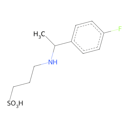 CC(NCCCS(=O)(=O)O)c1ccc(F)cc1